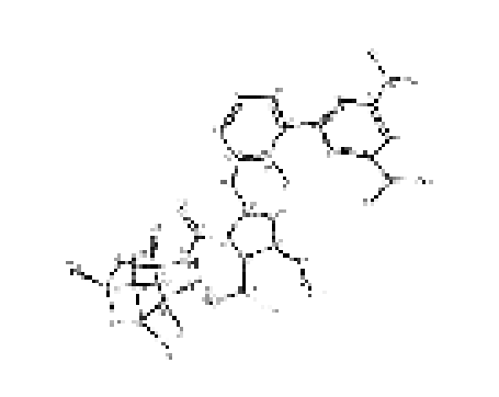 CC(=O)c1cc(-c2cccc(CN3O[C@@H](CN)[C@@H]([C@H](C)O)[C@H]3C(=O)N[C@H]3C[C@H]4C[C@@H]([C@@H]3C)C4(C)C)c2C)cc(N(C)C)c1